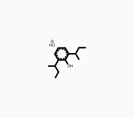 CCC(C)c1cccc(C(C)CC)c1O.Cl.[Zr]